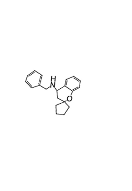 c1ccc(CNC2CC3(CCCC3)Oc3ccccc32)cc1